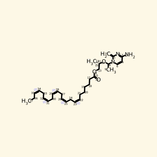 C=C1N=C(N)C=CN1C(C)O[C@@H](C)COC(=O)CCCCC/C=C\C/C=C\C/C=C\C/C=C\C/C=C\CC